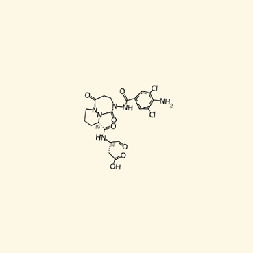 Nc1c(Cl)cc(C(=O)NN2CCC(=O)N3CCC[C@@H](C(=O)N[C@H](C=O)CC(=O)O)N3C2=O)cc1Cl